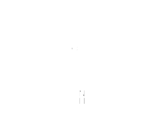 C1=C(c2cc3ccccc3o2)CCNC1